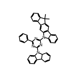 CC1(C)c2ccccc2-c2cc3c(cc21)c1ccccc1n3-c1nc(-c2ccccc2)nc(N2c3ccccc3C3C=CC=CC32)n1